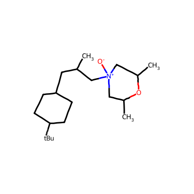 CC(CC1CCC(C(C)(C)C)CC1)C[N+]1([O-])CC(C)OC(C)C1